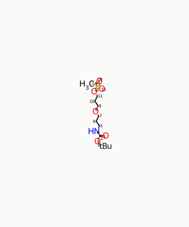 CC(C)(C)OC(=O)NCCCOCCCOS(C)(=O)=O